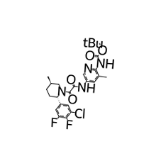 Cc1cc(NC(=O)C(=O)N2C[C@H](C)CC[C@H]2c2cc(F)c(F)c(Cl)c2)cnc1NC(=O)OC(C)(C)C